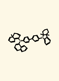 CC12C=CC=CC1=C(N(c1ccc(-c3ccc(N4c5ccccc5C5(C)CCCCC45C)cc3)cc1)c1cccc3ccccc13)C=CC2